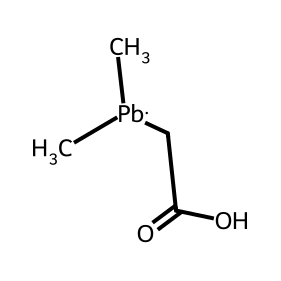 [CH3][Pb]([CH3])[CH2]C(=O)O